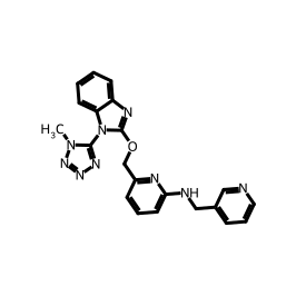 Cn1nnnc1-n1c(OCc2cccc(NCc3cccnc3)n2)nc2ccccc21